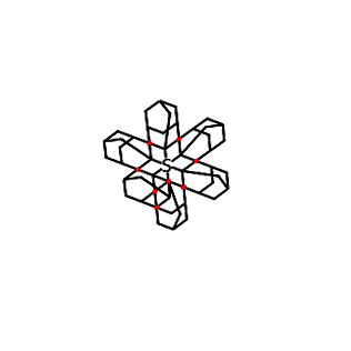 C1C2CC3CC1CC(S(C14CC5CC(CC(C5)C1)C4)(C14CC5CC(CC(C5)C1)C4)(C14CC5CC(CC(C5)C1)C4)(C14CC5CC(CC(C5)C1)C4)C14CC5CC(CC(C5)C1)C4)(C2)C3